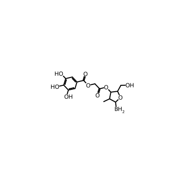 BC1OC(CO)C(OC(=O)COC(=O)c2cc(O)c(O)c(O)c2)C1C